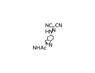 CC(=O)Nc1nc2ccc(NN=C(C#N)C#N)cc2s1